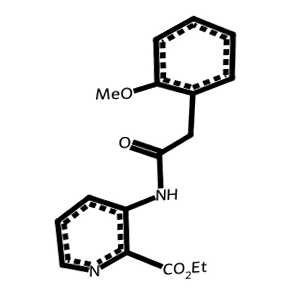 CCOC(=O)c1ncccc1NC(=O)Cc1ccccc1OC